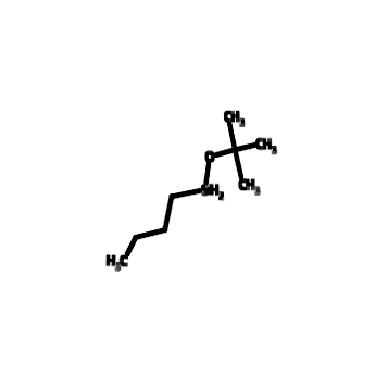 CCCC[SiH2]OC(C)(C)C